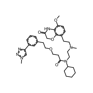 COc1ccc(CCN(C)CCN(C(=O)CCOCCc2cccc(-c3cn(C)nn3)c2)C2CCCCC2)c2c1NC(=O)CO2